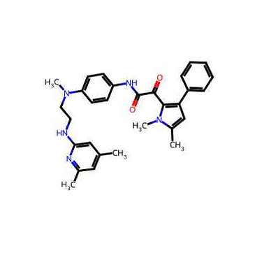 Cc1cc(C)nc(NCCN(C)c2ccc(NC(=O)C(=O)c3c(-c4ccccc4)cc(C)n3C)cc2)c1